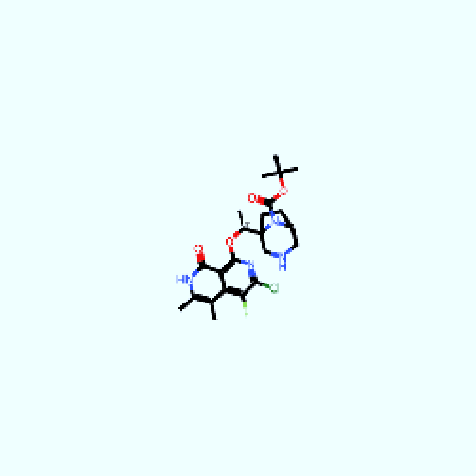 Cc1[nH]c(=O)c2c(O[C@@H](C)C34CCC(CNC3)N4C(=O)OC(C)(C)C)nc(Cl)c(F)c2c1C